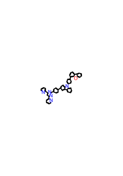 c1ccc(-c2cc(-c3ccccn3)nc(-c3ccc(-c4ccc5c(c4)c4ccccc4n5-c4ccc(-c5cccc6c5oc5ccccc56)cc4)cc3)n2)nc1